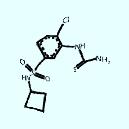 NC(=S)Nc1cc(S(=O)(=O)NC2CCC2)ccc1Cl